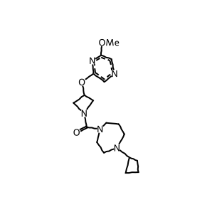 COc1cncc(OC2CN(C(=O)N3CCCN(C4CCC4)CC3)C2)n1